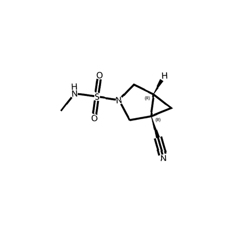 CNS(=O)(=O)N1C[C@@H]2C[C@]2(C#N)C1